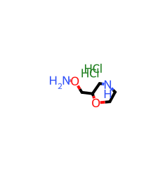 Cl.Cl.NOCC1CNCCO1